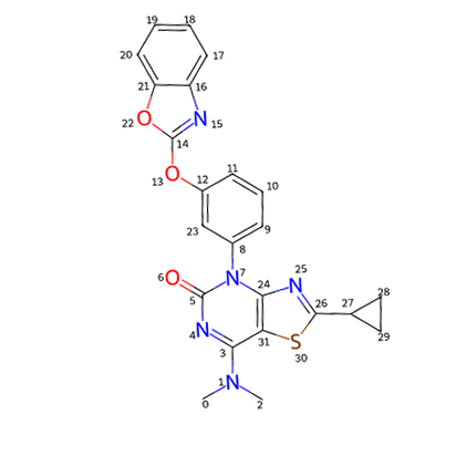 CN(C)c1nc(=O)n(-c2cccc(Oc3nc4ccccc4o3)c2)c2nc(C3CC3)sc12